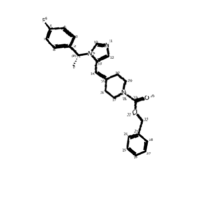 C[C@H](c1ccc(F)cc1)n1cncc1C=C1CCN(C(=O)OCc2ccccc2)CC1